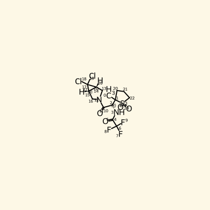 CC1([C@H](NC(=O)C(F)(F)F)C(=O)N2C[C@@H]3[C@H](C2)C3(Cl)Cl)CCCS1(=O)=O